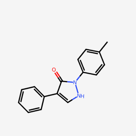 Cc1ccc(-n2[nH]cc(-c3ccccc3)c2=O)cc1